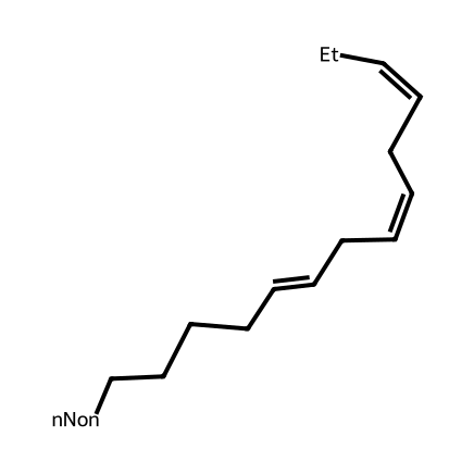 CC/C=C\C/C=C\CC=CCCCCCCCCCCCCC